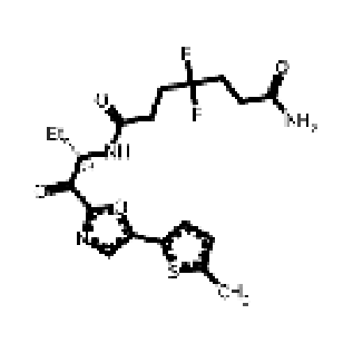 CC[C@H](NC(=O)[CH]CC(F)(F)CCC(N)=O)C(=O)c1ncc(-c2ccc(C)s2)o1